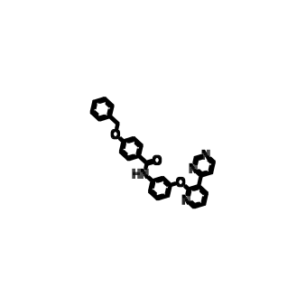 O=C(Nc1cccc(Oc2ncccc2-c2ccncn2)c1)c1ccc(OCc2ccccc2)cc1